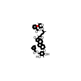 C[C@@H](CCC(=O)[C@@H](C)C1C(=O)CC2C3CCC4CC(O[C@@H]5CC(COC(=O)c6ccccc6)[C@@H](O)[C@H](C)C5O)CCC4(C)C3CCC21C)CO[C@@H]1OC[C@@H](C)[C@H](C)C1OC(=O)c1ccccc1